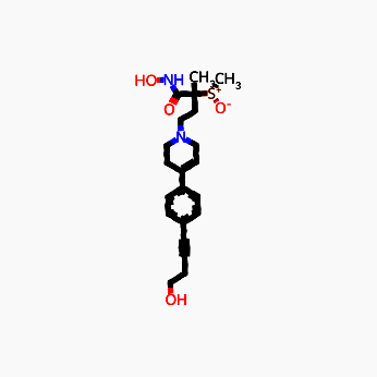 C[S+]([O-])C(C)(CCN1CC=C(c2ccc(C#CCCO)cc2)CC1)C(=O)NO